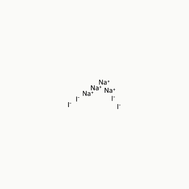 [I-].[I-].[I-].[I-].[Na+].[Na+].[Na+].[Na+]